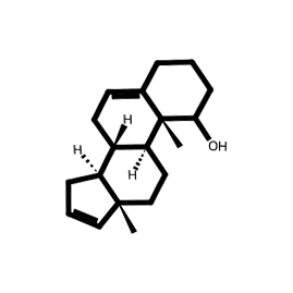 C[C@@]12C=CC[C@H]1[C@@H]1CC=C3CCCC(O)[C@]3(C)[C@H]1CC2